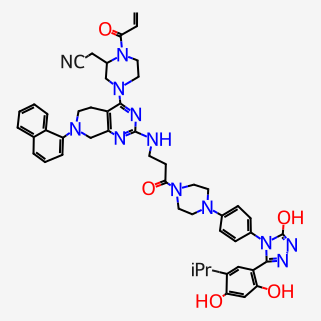 C=CC(=O)N1CCN(c2nc(NCCC(=O)N3CCN(c4ccc(-n5c(O)nnc5-c5cc(C(C)C)c(O)cc5O)cc4)CC3)nc3c2CCN(c2cccc4ccccc24)C3)CC1CC#N